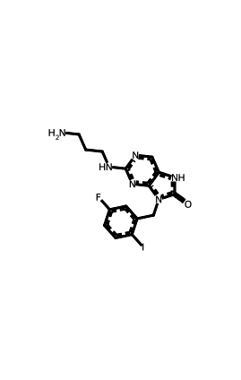 NCCCNc1ncc2[nH]c(=O)n(Cc3cc(F)ccc3I)c2n1